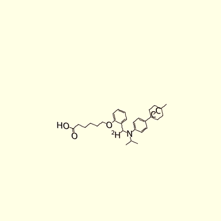 [2H]C(c1ccccc1OCCCCCC(=O)O)N(c1ccc(C23CCC(C)(CC2)CC3)cc1)C(C)C